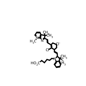 C[n+]1cccc2c1N=C(/C=C/C1=C(Cl)C(/C=C/C3N(CCCCCC(=O)O)c4ccccc4C3(C)C)CCC1)C2(C)C.[Cl-]